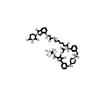 CC(C)(C)OC(=O)c1sc(-c2cccc(NC3CCN(S(=O)(=O)Cc4cccc(NC(=O)CCCCCNC(=O)CNc5cccc6c5CN(C5CCC(=O)NC5=O)C6=O)c4)CC3)c2)c(Cl)c1OCC(=O)O